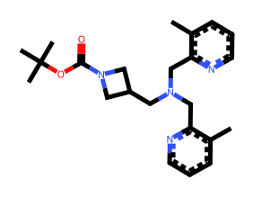 Cc1cccnc1CN(Cc1ncccc1C)CC1CN(C(=O)OC(C)(C)C)C1